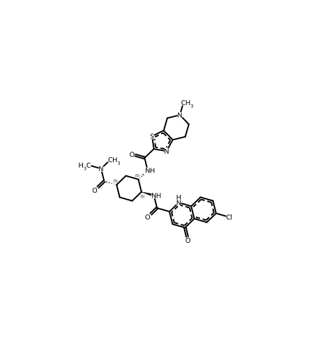 CN1CCc2nc(C(=O)N[C@H]3C[C@@H](C(=O)N(C)C)CC[C@@H]3NC(=O)c3cc(=O)c4cc(Cl)ccc4[nH]3)sc2C1